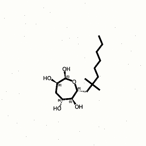 CCCCCCC(C)(C)C[C@H]1O[C@H](O)[C@H](O)C[C@@H](O)[C@@H]1O